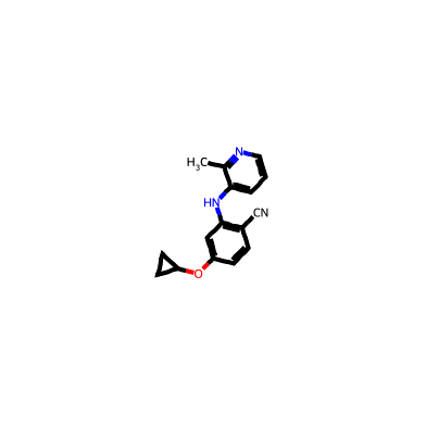 Cc1ncccc1Nc1cc(OC2CC2)ccc1C#N